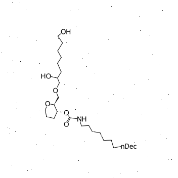 CCCCCCCCCCCCCCCCCNC(=O)O[C@@H]1CCCO[C@H]1COCC(O)CCCCCCO